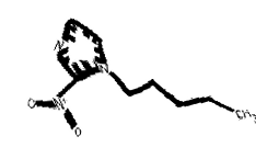 CCCCCn1ccnc1[N+](=O)[O-]